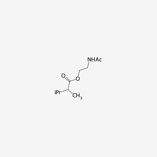 CC(=O)NCCOC(=O)C(C)C(C)C